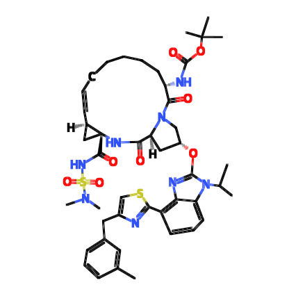 Cc1cccc(Cc2csc(-c3cccc4c3nc(O[C@@H]3C[C@H]5C(=O)N[C@]6(C(=O)NS(=O)(=O)N(C)C)C[C@H]6/C=C\CCCCC[C@H](NC(=O)OC(C)(C)C)C(=O)N5C3)n4C(C)C)n2)c1